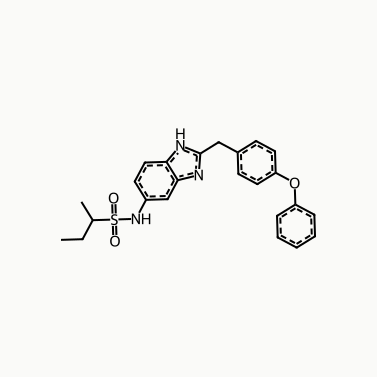 CCC(C)S(=O)(=O)Nc1ccc2[nH]c(Cc3ccc(Oc4ccccc4)cc3)nc2c1